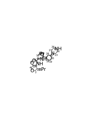 CCCC1COCC(=O)[C@H]1NC(=O)[C@H](CC(C)C)NC(=O)c1cccc(N2CCNCC2)c1